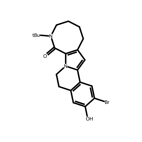 CC(C)(C)N1CCCCc2cc3n(c2C1=O)CCc1cc(O)c(Br)cc1-3